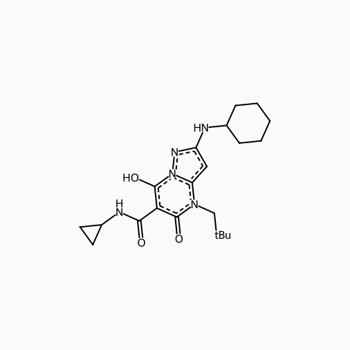 CC(C)(C)Cn1c(=O)c(C(=O)NC2CC2)c(O)n2nc(NC3CCCCC3)cc12